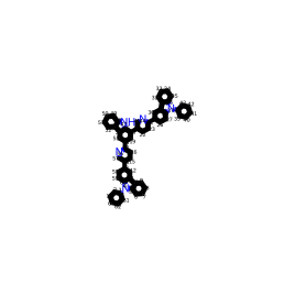 c1ccc(-n2c3ccccc3c3cc(-c4ccc(-c5cc(-c6ccc(-c7ccc8c(c7)c7ccccc7n8-c7ccccc7)nc6)c6[nH]c7ccccc7c6c5)nc4)ccc32)cc1